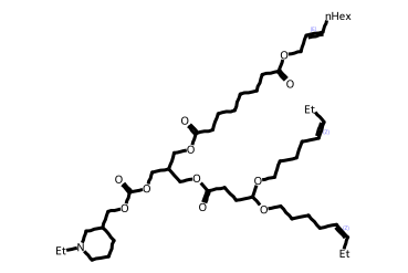 CC/C=C\CCCCOC(CCC(=O)OCC(COC(=O)CCCCCCC(=O)OC/C=C/CCCCCC)COC(=O)OCC1CCCN(CC)C1)OCCCC/C=C\CC